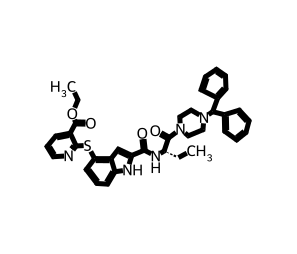 CCOC(=O)c1cccnc1Sc1cccc2[nH]c(C(=O)N[C@@H](CC)C(=O)N3CCN(C(c4ccccc4)c4ccccc4)CC3)cc12